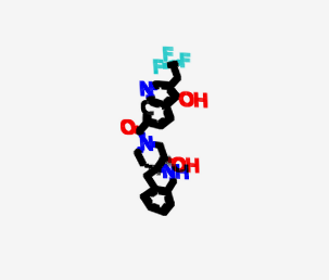 O=C(c1ccc2c(O)c(CC(F)(F)F)cnc2c1)N1CC[C@]2(Cc3ccccc3CN2)[C@H](O)C1